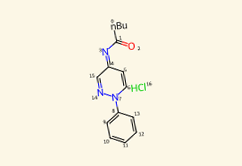 CCCCC(=O)N=c1ccn(-c2ccccc2)nc1.Cl